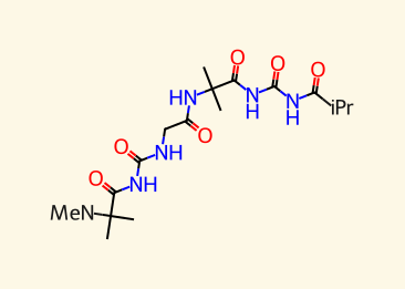 CNC(C)(C)C(=O)NC(=O)NCC(=O)NC(C)(C)C(=O)NC(=O)NC(=O)C(C)C